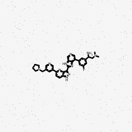 CN(C)CC(N)c1cc(F)cc(-c2cncc3[nH]c(-c4n[nH]c5ccc(-c6cncc(CN7CCCC7)c6)nc45)nc23)c1